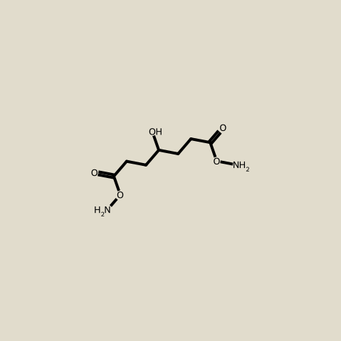 NOC(=O)CCC(O)CCC(=O)ON